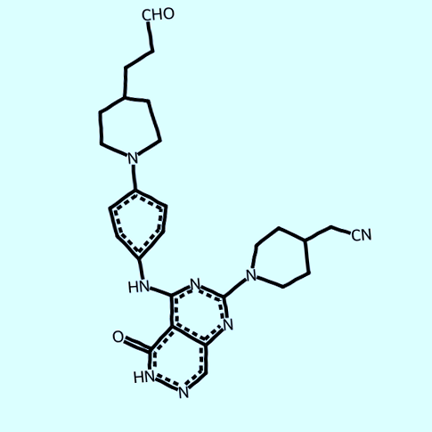 N#CCC1CCN(c2nc(Nc3ccc(N4CCC(CCC=O)CC4)cc3)c3c(=O)[nH]ncc3n2)CC1